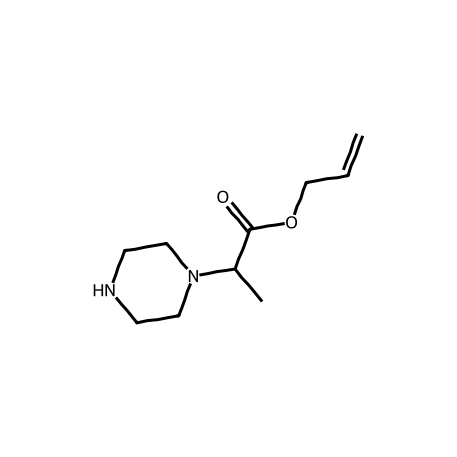 C=CCOC(=O)C(C)N1CCNCC1